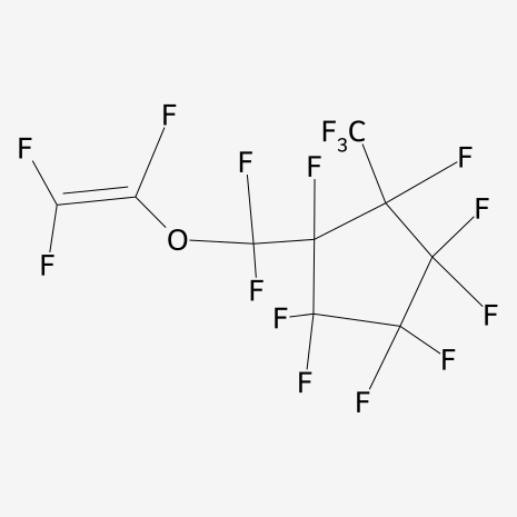 FC(F)=C(F)OC(F)(F)C1(F)C(F)(F)C(F)(F)C(F)(F)C1(F)C(F)(F)F